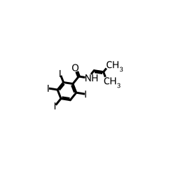 CC(C)=CNC(=O)c1c(I)cc(I)c(I)c1I